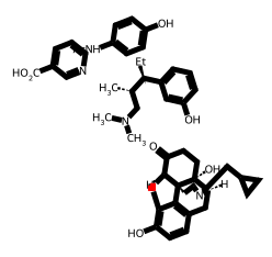 CC(=O)Nc1ccc(O)cc1.CC[C@@H](c1cccc(O)c1)[C@@H](C)CN(C)C.O=C(O)c1cccnc1.O=C1CC[C@@]2(O)[C@H]3Cc4ccc(O)c5c4[C@@]2(CCN3CC2CC2)[C@H]1O5